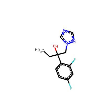 O=C(O)CC(O)(Cn1cncn1)c1ccc(F)cc1F